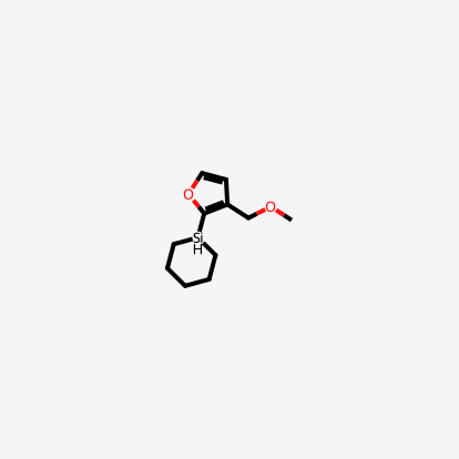 COCc1ccoc1[SiH]1CCCCC1